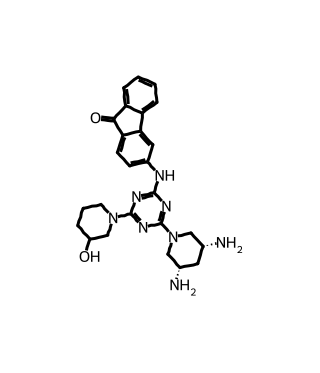 N[C@@H]1C[C@H](N)CN(c2nc(Nc3ccc4c(c3)-c3ccccc3C4=O)nc(N3CCCC(O)C3)n2)C1